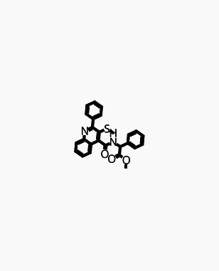 COC(=O)C(NC(=O)c1c(SC)c(-c2ccccc2)nc2ccccc12)c1ccccc1